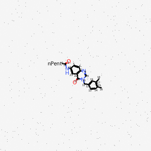 CCCCCC(=O)Nc1ccc2ncn(Cc3ccc(C)c(C)c3)c(=O)c2c1